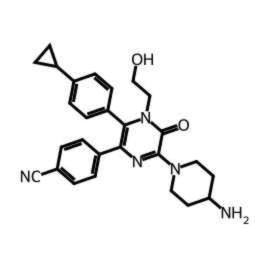 N#Cc1ccc(-c2nc(N3CCC(N)CC3)c(=O)n(CCO)c2-c2ccc(C3CC3)cc2)cc1